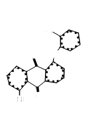 Nc1cccc2c1C(=O)c1cccc(Oc3ccccc3Cl)c1C2=O